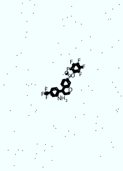 Nc1cc(C(F)(F)F)ccc1C1CCOc2cc(S(=O)Oc3c(F)c(F)c(F)c(F)c3F)ccc21